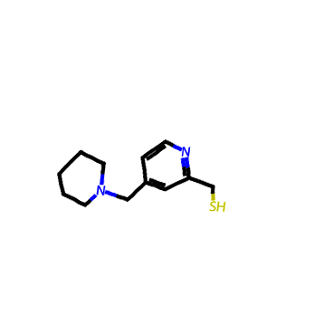 SCc1cc(CN2CCCCC2)ccn1